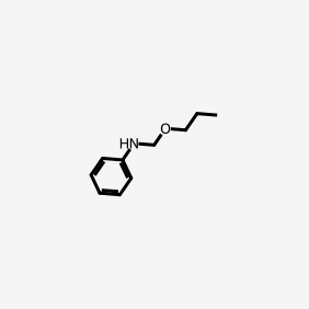 CCCOCNc1ccccc1